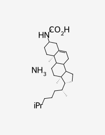 CC(C)CCC[C@@H](C)[C@H]1CCC2C3CC=C4CC(NC(=O)O)CC[C@]4(C)C3CC[C@@]21C.N